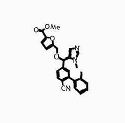 COC(=O)c1ccc(COC(c2ccc(C#N)c(-c3ccccc3C)c2)c2cncn2C)o1